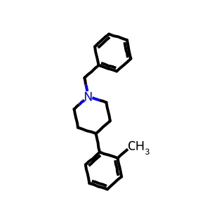 Cc1ccccc1C1CCN(Cc2ccccc2)CC1